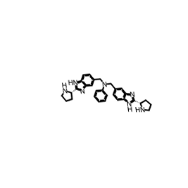 c1ccc(N(Cc2ccc3[nH]c([C@@H]4CCCN4)nc3c2)Cc2ccc3[nH]c([C@@H]4CCCN4)nc3c2)cc1